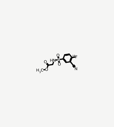 COC(=O)CNS(=O)(=O)c1ccc([18F])c(C#N)c1